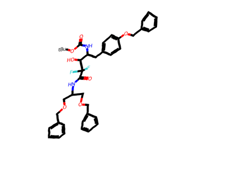 CC(C)(C)OC(=O)NC(Cc1ccc(OCc2ccccc2)cc1)C(O)C(F)(F)C(=O)NC(COCc1ccccc1)COCc1ccccc1